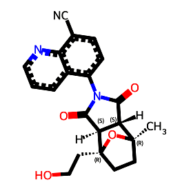 C[C@]12CC[C@](CCO)(O1)[C@H]1C(=O)N(c3ccc(C#N)c4ncccc34)C(=O)[C@@H]12